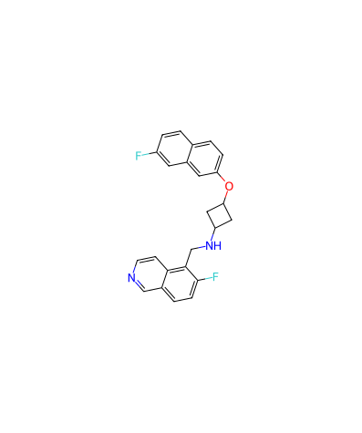 Fc1ccc2ccc(OC3CC(NCc4c(F)ccc5cnccc45)C3)cc2c1